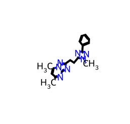 Cc1cc(C)n2nc(CCc3nc(-c4ccccc4)nn3C)nc2n1